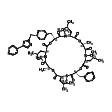 CC(C)C[C@H]1C(=O)O[C@H](Cc2ccc(Cn3cc(-c4ccncc4)cn3)cc2)C(=O)N(C)[C@@H](CC(C)C)C(=O)O[C@H](C)C(=O)N(C)[C@@H](CC(C)C)C(=O)O[C@H](Cc2ccccc2)C(=O)N(C)[C@@H](CC(C)C)C(=O)O[C@H](C)C(=O)N1C